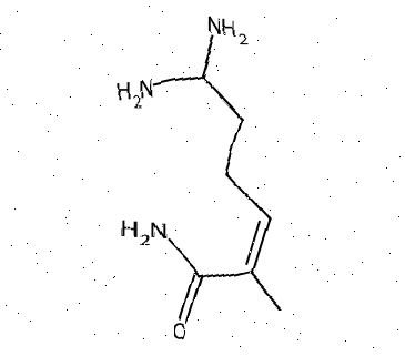 CC(=CCCC(N)N)C(N)=O